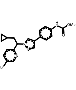 COC(=O)Nc1ccc(-c2cnn(C(CC3CC3)c3ccc(Br)cn3)c2)cc1